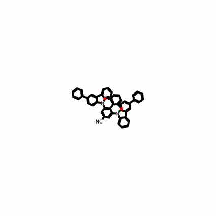 N#Cc1cc(-n2c3ccccc3c3cc(-c4ccccc4)ccc32)c(-c2c(F)cccc2F)c(-n2c3ccccc3c3cc(-c4ccccc4)ccc32)c1